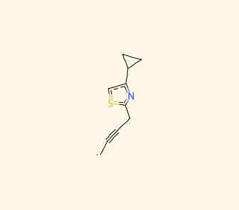 [CH2]C#CCc1nc(C2CC2)cs1